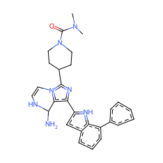 CN(C)C(=O)N1CCC(c2nc(-c3cc4cccc(-c5ccccc5)c4[nH]3)c3n2C=CNC3N)CC1